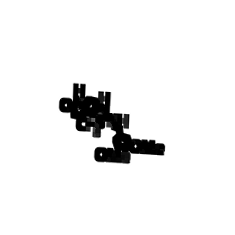 COc1ccc(CCNC(=S)Nc2ccc3[nH]c(=O)cc(C(F)(F)F)c3c2)cc1OC